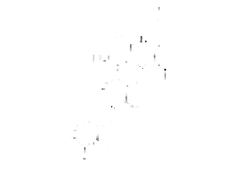 CCCC[C@@H]1C(C)N(CCC)C(=O)c2c(O)c(=O)c(C(=O)NCc3ccc(F)c(Cl)c3F)cn21